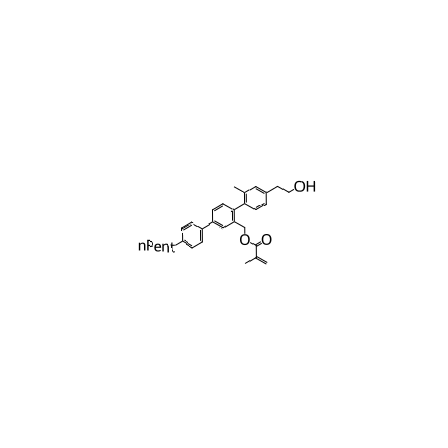 C=C(C)C(=O)OCc1cc(-c2ccc(CCCCC)cc2)ccc1-c1ccc(CCO)cc1C